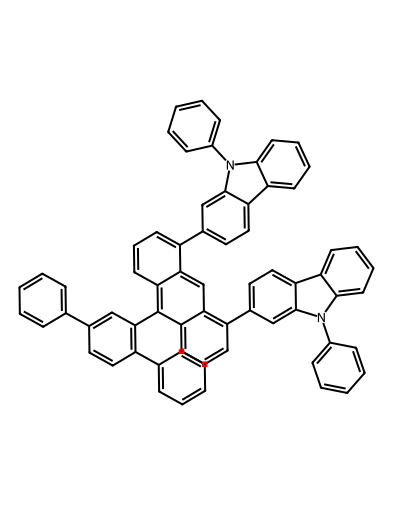 c1ccc(-c2ccc(-c3ccccc3)c(-c3c4cccc(-c5ccc6c7ccccc7n(-c7ccccc7)c6c5)c4cc4c(-c5ccc6c7ccccc7n(-c7ccccc7)c6c5)cccc34)c2)cc1